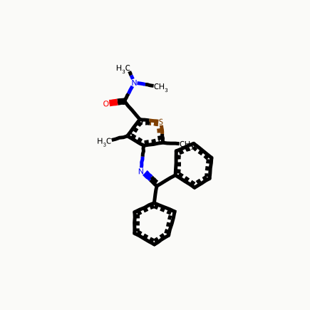 Cc1sc(C(=O)N(C)C)c(C)c1N=C(c1ccccc1)c1ccccc1